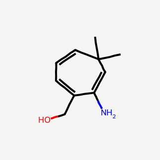 CC1(C)C=CC=C(CO)C(N)=C1